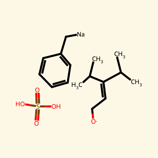 CC(C)C(=CC[O])C(C)C.O=S(=O)(O)O.[Na][CH2]c1ccccc1